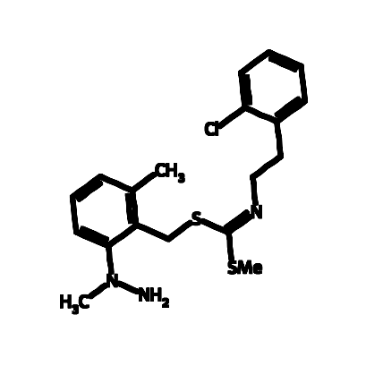 CSC(=NCCc1ccccc1Cl)SCc1c(C)cccc1N(C)N